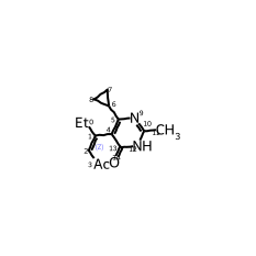 CC/C(=C/C(C)=O)c1c(C2CC2)nc(C)[nH]c1=O